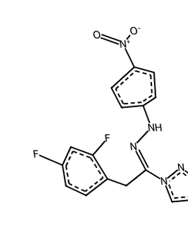 O=[N+]([O-])c1ccc(NN=C(Cc2ccc(F)cc2F)n2cncn2)cc1